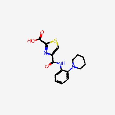 O=C(Nc1ccccc1N1CCCCC1)c1csc(C(=O)O)n1